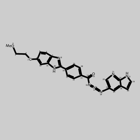 COCCOc1ccc2nc(-c3ccc(C(=O)N=[N+]=Nc4cnc5[nH]ccc5c4)cc3)[nH]c2c1